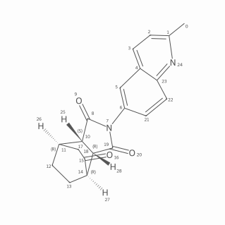 Cc1ccc2cc(N3C(=O)[C@H]4[C@@H]5CC[C@@H](C(=O)C5)[C@H]4C3=O)ccc2n1